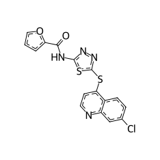 O=C(Nc1nnc(Sc2ccnc3cc(Cl)ccc23)s1)c1ccco1